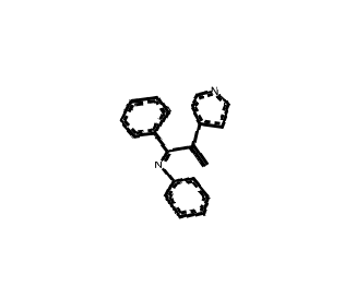 C=C(C(=Nc1ccccc1)c1ccccc1)c1ccncc1